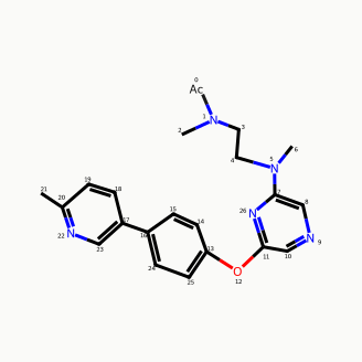 CC(=O)N(C)CCN(C)c1cncc(Oc2ccc(-c3ccc(C)nc3)cc2)n1